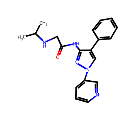 CC(C)NCC(=O)Nc1nn(-c2cccnc2)cc1-c1ccccc1